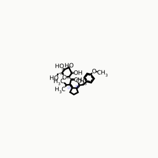 C=C(/C(=C1/CCC/C1=C(/C)Cc1ccc(OC)cc1)C(C)C)[C@@H]1O[C@H](CO)[C@@H](O)[C@H](O)[C@H]1O